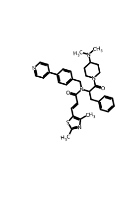 Cc1nc(C)c(C=CC(=O)N(Cc2ccc(-c3ccncc3)cc2)C(Cc2ccccc2)C(=O)N2CCC(N(C)C)CC2)s1